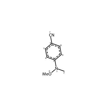 CON(C)c1ccc(C#N)cc1